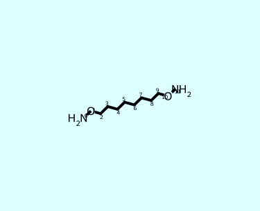 NOCCCCCCCCON